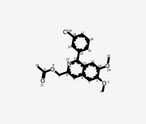 COc1cc2cc(COC(C)=O)nc(-c3cccc(Cl)c3)c2cc1OC